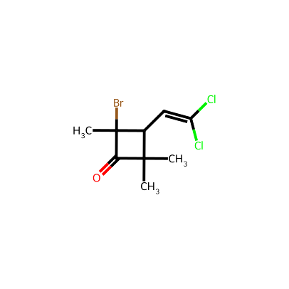 CC1(C)C(=O)C(C)(Br)C1C=C(Cl)Cl